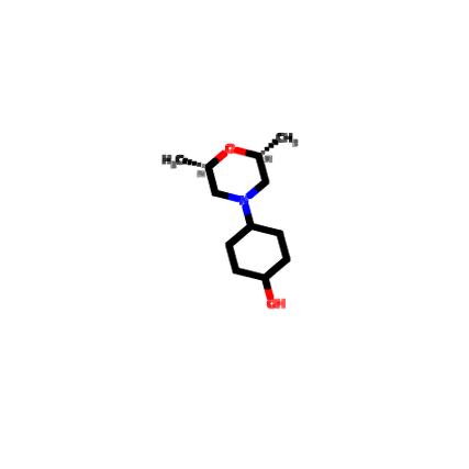 C[C@@H]1CN(C2CCC(O)CC2)C[C@H](C)O1